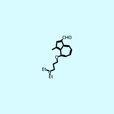 CCN(CC)CCCOc1ccccc2c(C=O)cc(C)c1-2